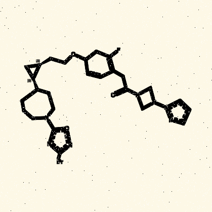 CC(C)c1noc(N2CCCC([C@H]3C[C@H]3CCOC3C=CC(CC(=O)N4CN(n5cccn5)C4)=C(F)C3)CC2)n1